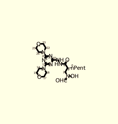 CCCCC[C@H](CN(O)C=O)C(=O)NNc1nc(N2CCOCC2)nc(N2CCOCC2)n1